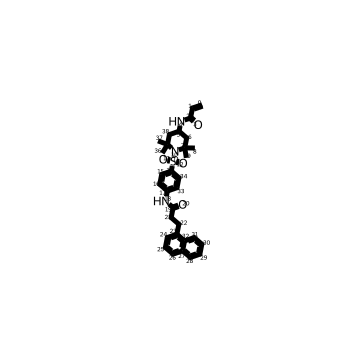 C=CC(=O)NC1CC(C)(C)N(S(=O)(=O)c2ccc(NC(=O)CCc3cccc4ccccc34)cc2)C(C)(C)C1